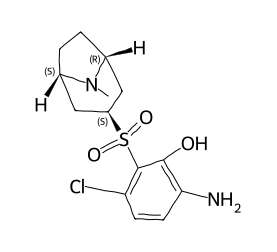 CN1[C@@H]2CC[C@H]1C[C@H](S(=O)(=O)c1c(Cl)ccc(N)c1O)C2